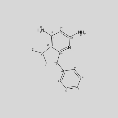 CC1CC(c2ccccc2)c2nc(N)nc(N)c21